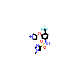 CN1CC[C@@H](Oc2cc(NS(=O)(=O)c3cn(C)cn3)ccc2C(F)(F)F)C1